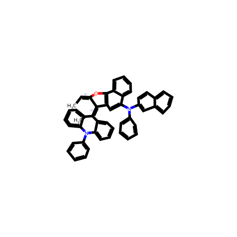 C/C=c1/oc2c(cc(N(c3ccccc3)c3ccc4ccccc4c3)c3ccccc32)/c1=C(/CC)c1ccccc1N(C1=C=C=CC=C1)c1ccccc1